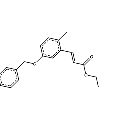 CCOC(=O)C=Cc1cc(OCc2ccccc2)ccc1C